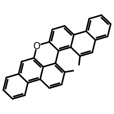 Cc1ccc2c3c(cc4ccccc42)Oc2ccc4c(c(C)cc5ccccc54)c2-c13